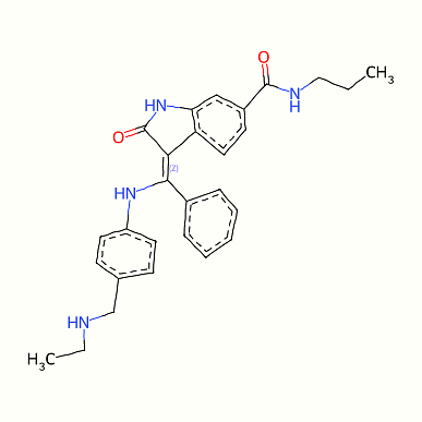 CCCNC(=O)c1ccc2c(c1)NC(=O)/C2=C(\Nc1ccc(CNCC)cc1)c1ccccc1